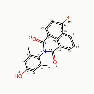 Cc1cc(O)cc(C)c1N1C(=O)c2cccc3c(Br)ccc(c23)C1=O